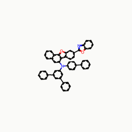 c1ccc(-c2ccc(N(c3cc(-c4ccccc4)cc(-c4ccccc4)c3)c3cc4ccccc4c4oc5cc(-c6nc7ccccc7o6)ccc5c34)cc2)cc1